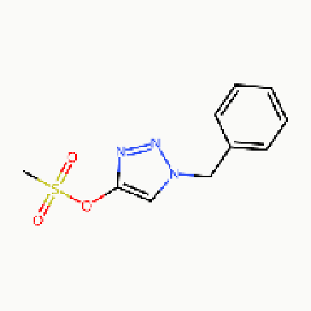 CS(=O)(=O)Oc1cn(Cc2ccccc2)nn1